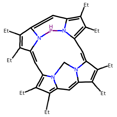 CCc1c(CC)c2n3c1C=c1c(CC)c(CC)/c(n1C3)=C/c1c(CC)c(CC)c3n1Pn1c(c(CC)c(CC)/c1=C/2)=C3